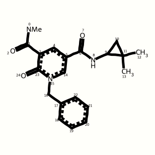 CNC(=O)c1cc(C(=O)NC2CC2(C)C)cn(Cc2ccccc2)c1=O